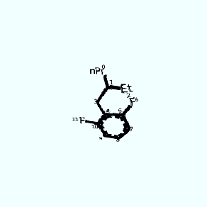 CCCC(CC)Cc1c(F)cccc1F